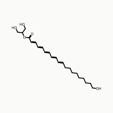 O=C(C=CC=CC=CC=CC=CCCCCCCCCCO)OC(CO)CO